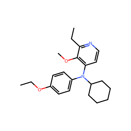 CCOc1ccc(N(c2ccnc(CC)c2OC)C2CCCCC2)cc1